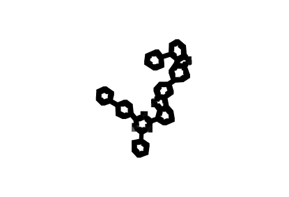 c1ccc(-c2ccc(-c3nc(-c4ccccc4)nc(-c4cccc5c4sc4ccc(-c6ccc7sc8cccc(-c9ccccc9)c8c7c6)cc45)n3)cc2)cc1